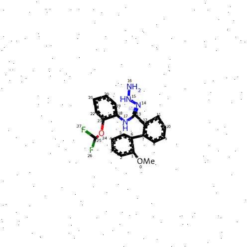 COc1ccccc1-c1ccccc1/C(=N/NN)Nc1ccccc1OC(F)F